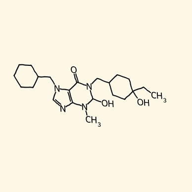 CCC1(O)CCC(CN2C(=O)c3c(ncn3CC3CCCCC3)N(C)C2O)CC1